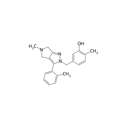 Cc1ccc(Cn2nc3c(c2-c2ccccc2C)CN(C)C3)cc1O